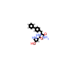 NC(=O)C(Cc1ccc(-c2ccccc2)cc1)NC(=O)[C@@H]1C[C@@H](O)CN1